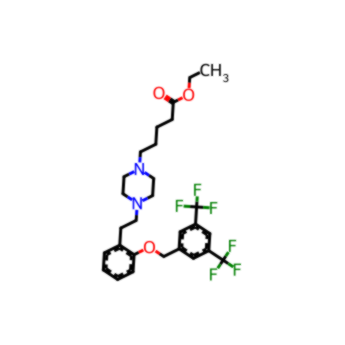 CCOC(=O)CCCCN1CCN(CCc2ccccc2OCc2cc(C(F)(F)F)cc(C(F)(F)F)c2)CC1